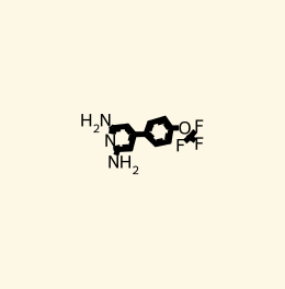 Nc1cc(-c2ccc(OC(F)(F)F)cc2)cc(N)n1